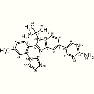 Cc1ccc(-c2nc3cc(-c4cnc(N)nc4)ccc3n2C(C)(C)C)c(-n2cncn2)c1